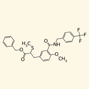 COc1ccc(CC(SC)C(=O)OCc2ccccc2)cc1C(=O)NCc1ccc(C(F)(F)F)cc1